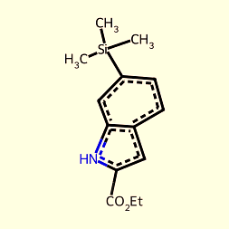 CCOC(=O)c1cc2ccc([Si](C)(C)C)cc2[nH]1